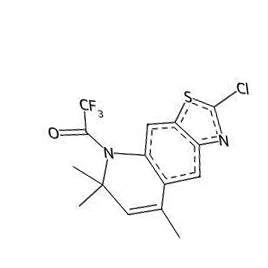 CC1=CC(C)(C)N(C(=O)C(F)(F)F)c2cc3sc(Cl)nc3cc21